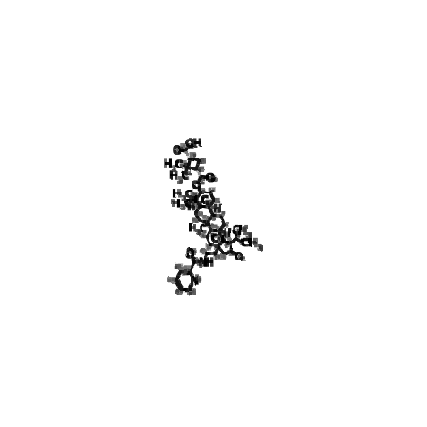 CC(C)C1=C2[C@H]3CC[C@@H]4[C@@]5(C)CC[C@H](OC(=O)[C@H]6C[C@@H](C(=O)O)C6(C)C)C(C)(C)[C@@H]5CC[C@@]4(C)[C@]3(C)CC[C@@]2(CCNC(=O)c2ccccn2)CC1=O